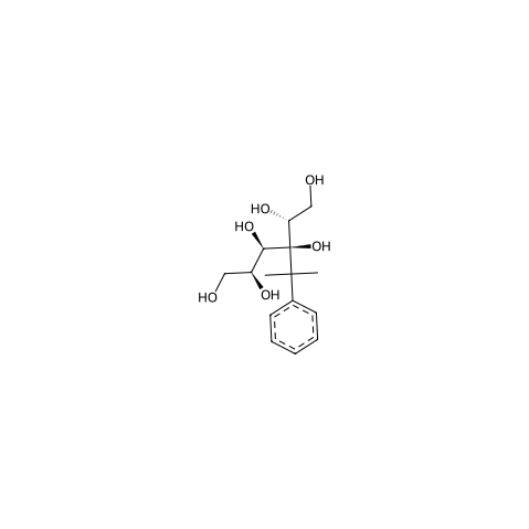 CC(C)(c1ccccc1)[C@@](O)([C@H](O)CO)[C@H](O)[C@@H](O)CO